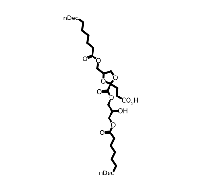 CCCCCCCCCCCCCCCC(=O)OCC(O)COC(=O)C1(CCC(=O)O)OCC(COC(=O)CCCCCCCCCCCCCCC)O1